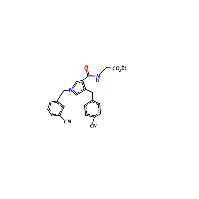 CCOC(=O)CNC(=O)c1cn(Cc2cccc(C#N)c2)cc1Cc1ccc(C#N)cc1